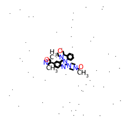 CC(=O)N1CCN(c2nc(N3CCOCC3c3ccccc3)c3cc(-c4c(C)noc4C)ccc3n2)CC1